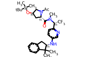 CC(=O)N1C[C@H](O[Si](C)(C)C(C)(C)C)C[C@H]1C(=O)N(C)[C@@H](c1ccc(N[C@H]2Cc3ccccc3C2(C)C)cn1)C(F)(F)F